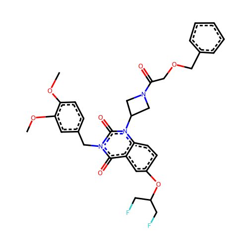 COc1ccc(Cn2c(=O)c3cc(OC(CF)CF)ccc3n(C3CN(C(=O)COCc4ccccc4)C3)c2=O)cc1OC